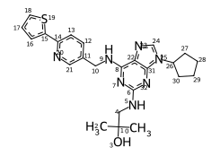 CC(C)(O)CNc1nc(NCc2ccc(-c3cccs3)nc2)c2ncn(C3CCCC3)c2n1